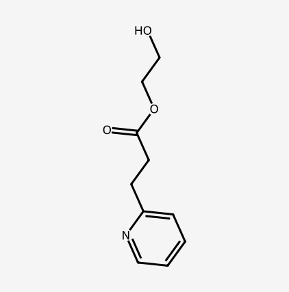 O=C(CCc1ccccn1)OCCO